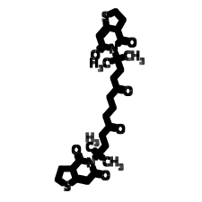 CC(C)(CCC(=O)CCCC(=O)CCC(C)(C)N1C(=O)C=C2SCCC2C1=O)N1C(=O)C=C2SCCC2C1=O